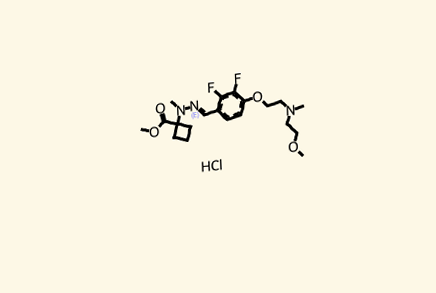 COCCN(C)CCOc1ccc(/C=N/N(C)C2(C(=O)OC)CCC2)c(F)c1F.Cl